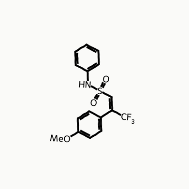 COc1ccc(/C(=C\S(=O)(=O)Nc2ccccc2)C(F)(F)F)cc1